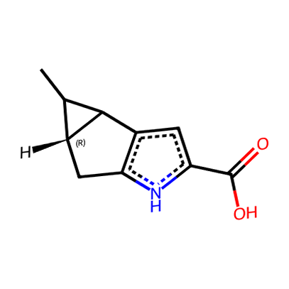 CC1C2c3cc(C(=O)O)[nH]c3C[C@H]12